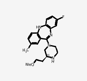 COCC[C@H]1CN(C2=Nc3cc(F)ccc3Nc3ccc(C)cc32)CCN1